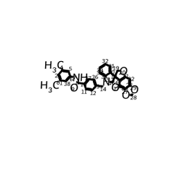 Cc1cc(C)cc(NC(=O)c2ccc(CN3C(=O)C4(COc5cc6c(cc54)OCO6)c4ccccc43)cc2)c1